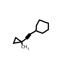 CC1(C#CC2CCCCC2)CC1